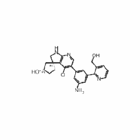 Nc1cc(-c2cnc3c(c2Cl)[C@]2(CC[C@H](O)C2)CN3)cc(-c2ncccc2CO)c1